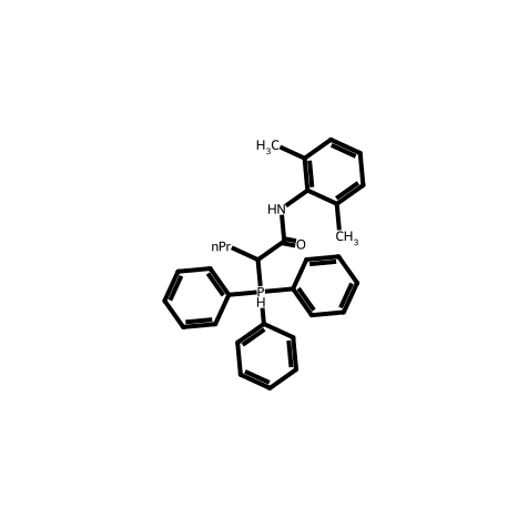 CCCC(C(=O)Nc1c(C)cccc1C)[PH](c1ccccc1)(c1ccccc1)c1ccccc1